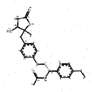 CCc1ccc([C@@H](COc2ccc(CC3(C)SC(=O)NC3O)cc2)OC(C)=O)nc1